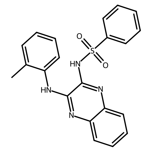 Cc1ccccc1Nc1nc2ccccc2nc1NS(=O)(=O)c1ccccc1